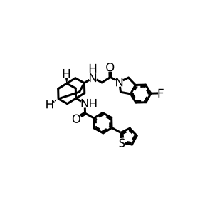 O=C(NC12C[C@@H]3C[C@@H](CC(NCC(=O)N4Cc5ccc(F)cc5C4)(C3)C1)C2)c1ccc(-c2cccs2)cc1